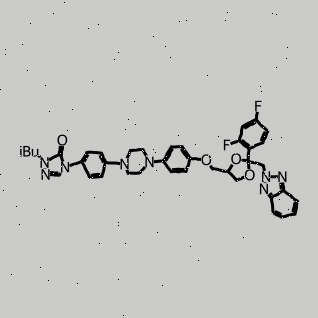 CCC(C)n1ncn(-c2ccc(N3CCN(c4ccc(OCC5COC(Cn6nc7ccccc7n6)(c6ccc(F)cc6F)O5)cc4)CC3)cc2)c1=O